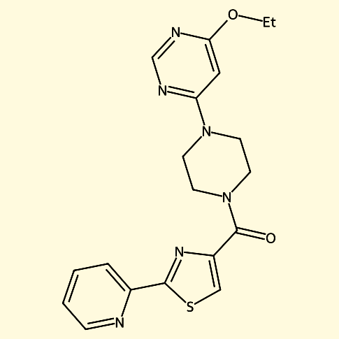 CCOc1cc(N2CCN(C(=O)c3csc(-c4ccccn4)n3)CC2)ncn1